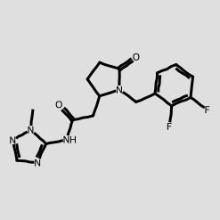 Cn1ncnc1NC(=O)CC1CCC(=O)N1Cc1cccc(F)c1F